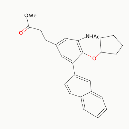 COC(=O)CCc1cc(NC(C)=O)c(OC2CCCC2)c(-c2ccc3ccccc3c2)c1